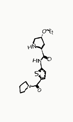 CCO[C@H]1CN[C@H](C(=O)Nc2ccc(C(=O)N3CCCC3)s2)C1